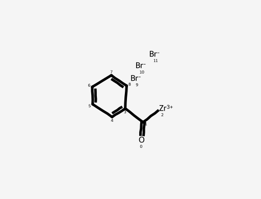 O=[C]([Zr+3])c1ccccc1.[Br-].[Br-].[Br-]